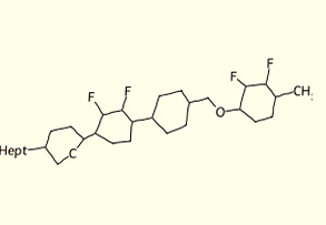 CCCCCCCC1CCC(C2CCC(C3CCC(COC4CCC(C)C(F)C4F)CC3)C(F)C2F)CC1